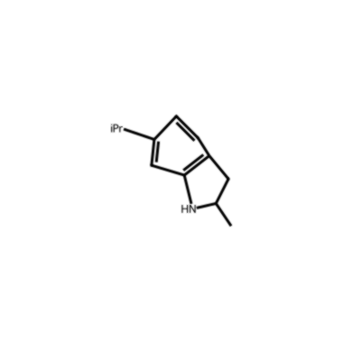 CC1Cc2ccc(C(C)C)cc2N1